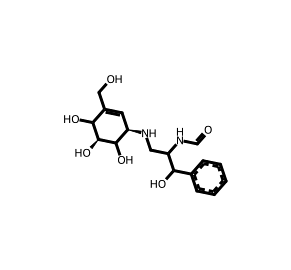 O=CNC(CN[C@@H]1C=C(CO)C(O)[C@H](O)C1O)C(O)c1ccccc1